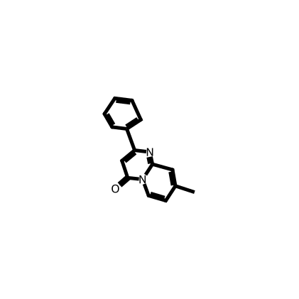 Cc1ccn2c(=O)cc(-c3ccccc3)nc2c1